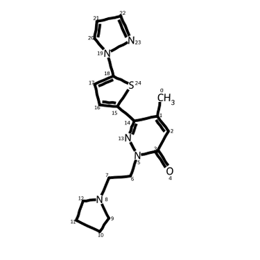 Cc1cc(=O)n(CCN2CCCC2)nc1-c1ccc(-n2cccn2)s1